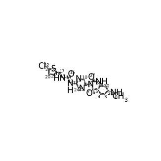 CNc1ccc2c(=O)n(-c3cnc(NC(=O)NCc4ccc(Cl)s4)cn3)c(=O)[nH]c2c1